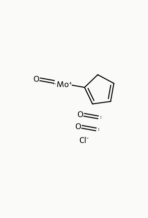 [C]=O.[C]=O.[C]=O.[Cl-].[Mo+][C]1=CC=CC1